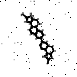 Cc1nc2c([nH]1)-c1ccc(-c3ccc4c5c(ccc4c3)-c3nc(C(C)C)[nH]c3CO5)cc1CC2